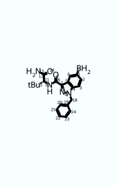 Bc1ccc2c(c1)c(C(=O)N[C@H](C(N)=O)C(C)(C)C)nn2Cc1ccccc1